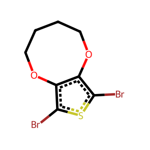 Brc1sc(Br)c2c1OCCCCO2